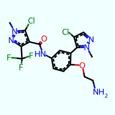 Cn1nc(C(F)(F)F)c(C(=O)Nc2ccc(OCCN)c(-c3c(Cl)cnn3C)c2)c1Cl